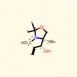 C=C[C@@H](O)[C@]1(C(C)(C)C)COC(C)(C)N1C(=O)O